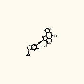 CCC(=O)c1cnc(N)c2c(C#Cc3cc4ncn(C5CC5)c4cc3F)nn(C3CCNC3)c12